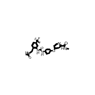 CNC(=O)c1cc(Oc2ccc(NC(=O)Nc3cc(C(F)(F)F)ccc3CNC(C)=O)cc2)ccn1